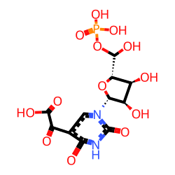 O=C(O)C(=O)c1cn([C@@H]2O[C@H](C(O)OP(=O)(O)O)[C@@H](O)[C@H]2O)c(=O)[nH]c1=O